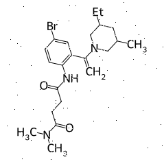 C=C(c1cc(Br)ccc1NC(=O)CCC(=O)N(C)C)N1CC(C)CC(CC)C1